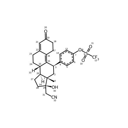 C[C@]12C[C@H](c3ccc(OS(=O)(=O)C(F)(F)F)cc3)C3=C4CCC(=O)C=C4CC[C@H]3[C@@H]1CC[C@@]2(O)CC#N